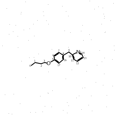 CCCCOc1ccc(Cc2ccccn2)cc1